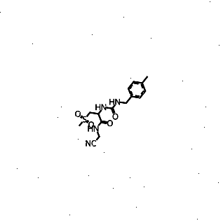 Cc1ccc(CNC(=O)NC(CS(C)(=O)=O)C(=O)NCC#N)cc1